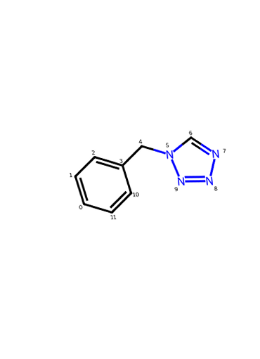 c1ccc(Cn2cnnn2)cc1